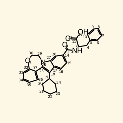 O=C(NC(Cc1ccccc1)C(=O)O)c1ccc2c(C3CCCCC3)c3n(c2c1)CCOc1ccccc1-3